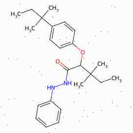 CCC(C)(C)c1ccc(OC(C(=O)NNc2ccccc2)C(C)(C)CC)cc1